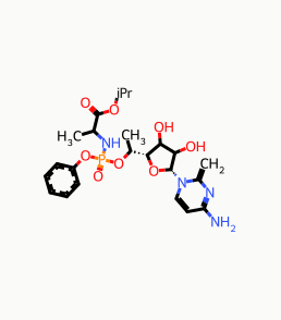 C=C1N=C(N)C=CN1[C@@H]1O[C@H](C(C)OP(=O)(NC(C)C(=O)OC(C)C)Oc2ccccc2)C(O)C1O